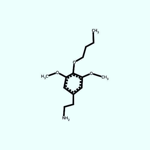 CCCCOc1c(OC)cc(CCN)cc1OC